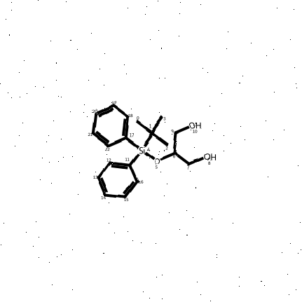 CC(C)(C)[Si](OC(CO)CO)(c1ccccc1)c1ccccc1